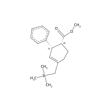 COC(=O)[C@@H]1CCC(C[Si](C)(C)C)=C[C@@H]1c1ccccc1